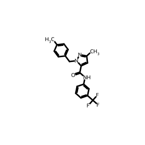 Cc1ccc(Cn2nc(C)cc2C(=O)Nc2cccc(C(F)(F)F)c2)cc1